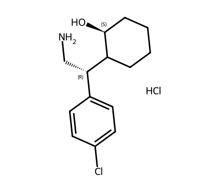 Cl.NC[C@@H](c1ccc(Cl)cc1)C1CCCC[C@@H]1O